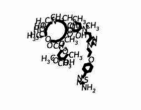 CC[C@H]1OC(=O)[C@H](C)[C@@H](OC[C@H]2C[C@@](C)(OC)[C@@H](O)[C@H](C)O2)[C@H](C)[C@@H](O[C@@H]2O[C@H](C)C[C@H](N(C)CCc3cn(CCCOc4ccc(-c5nnc(N)s5)cc4)nn3)[C@H]2O)[C@](C)(O)C[C@@H](C)CN(C)[C@H](C)[C@@H](O)[C@]1(C)O